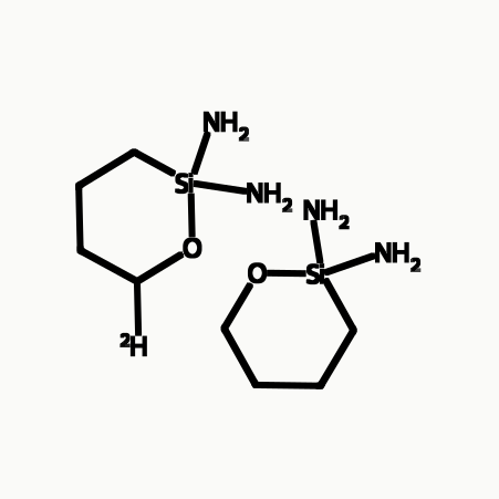 N[Si]1(N)CCCCO1.[2H]C1CCC[Si](N)(N)O1